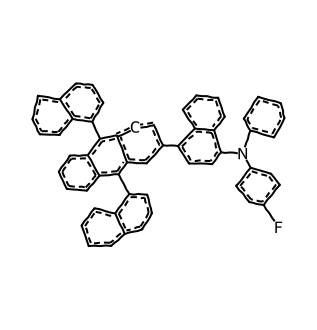 Fc1ccc(N(c2ccccc2)c2ccc(-c3ccc4c(-c5cccc6ccccc56)c5ccccc5c(-c5cccc6ccccc56)c4c3)c3ccccc23)cc1